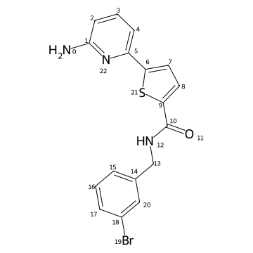 Nc1cccc(-c2ccc(C(=O)NCc3cccc(Br)c3)s2)n1